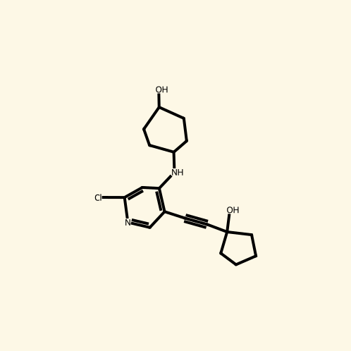 OC1CCC(Nc2cc(Cl)ncc2C#CC2(O)CCCC2)CC1